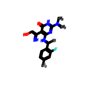 CCC(Nc1nc(N(C)C)[nH]c(=O)c1C(=N)CO)c1ccc(C(F)(F)F)cc1F